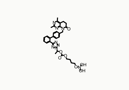 Cc1nc(C)c2c(n1)N(Cc1ccc(-c3ccccc3-c3nnn(C(C)OC(=O)OCCCCON(O)O)n3)cc1)C(=O)CC2